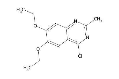 CCOc1cc2nc(C)nc(Cl)c2cc1OCC